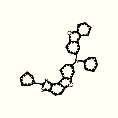 c1ccc(-c2nc3c(ccc4oc5cc(N(c6ccccc6)c6ccc7oc8ccccc8c7c6)ccc5c43)s2)cc1